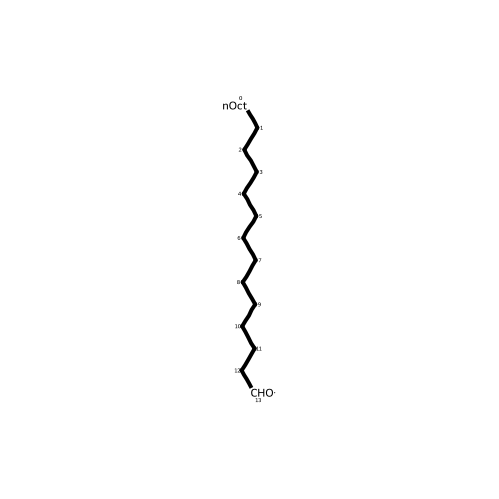 [CH2]CCCCCCCCCCCCCCCCCCC[C]=O